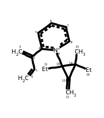 C=CC(=C)c1cccc[n+]1C1(CC)C(=C)C1(C)CC